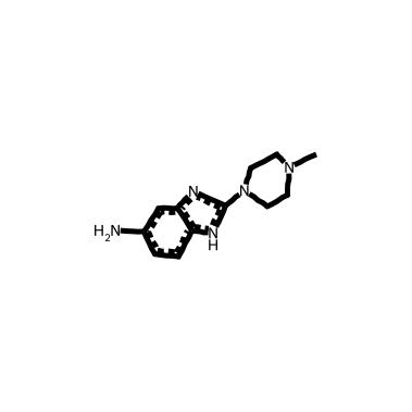 CN1CCN(c2nc3cc(N)ccc3[nH]2)CC1